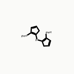 CCCC(C)C1=[C]([Zr][C]2=C(C(C)CCC)C=CC2)CC=C1